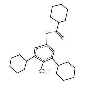 O=C(Oc1cc(C2CCCCC2)c(S(=O)(=O)O)c(C2CCCCC2)c1)C1CCCCC1